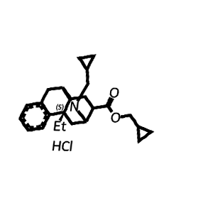 CC[C@]12CC3C(C(=O)OCC4CC4)CC1C(Cc1ccccc12)N3CC1CC1.Cl